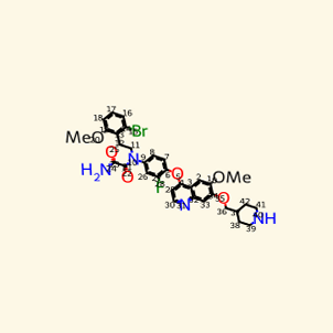 COc1cc2c(Oc3ccc(N(CCc4c(Br)cccc4OC)C(=O)C(N)=O)cc3F)ccnc2cc1OCC1CCNCC1